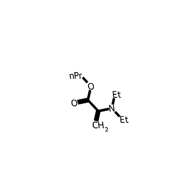 C=C(C(=O)OCCC)N(CC)CC